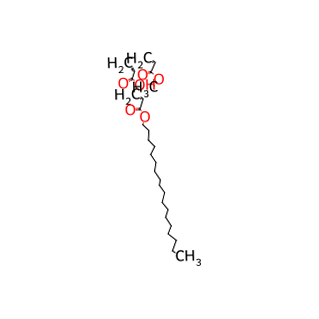 C=CC(=O)O.C=CC(=O)OC.C=CC(=O)OCCCCCCCCCCCCCCCCCC